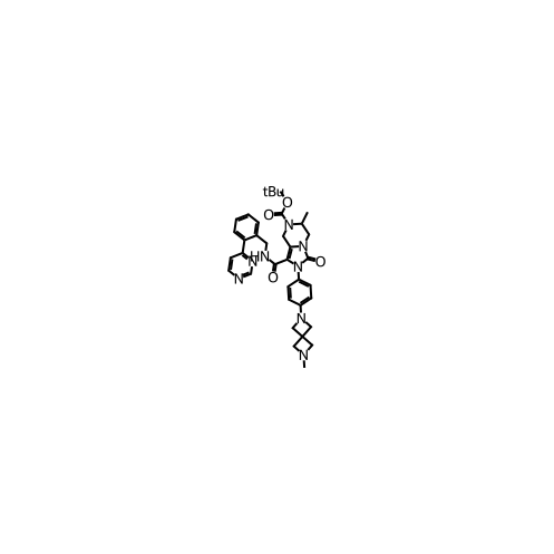 CC1Cn2c(c(C(=O)NCc3ccccc3-c3ccncn3)n(-c3ccc(N4CC5(CN(C)C5)C4)cc3)c2=O)CN1C(=O)OC(C)(C)C